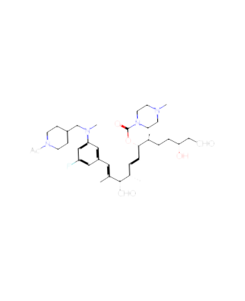 CC(=O)N1CCC(CN(C)c2cc(F)cc(/C=C(\C)[C@@H](C=O)[C@@H](C)/C=C/[C@H](OC(=O)N3CCN(C)CC3)[C@@H](C)CC[C@@H](O)CC=O)c2)CC1